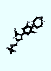 CS(=O)(=O)NC[C@H]1CN(c2cc(F)c(N3CCNOCC3)c(F)c2)C(=O)O1